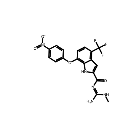 CNC(N)=NC(=O)c1cc2c(C(F)(F)F)ccc(Oc3ccc([N+](=O)[O-])cc3)c2[nH]1